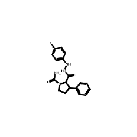 NC(=O)N1CCC(c2ccccc2)C1C(=O)NNc1ccc(F)cc1